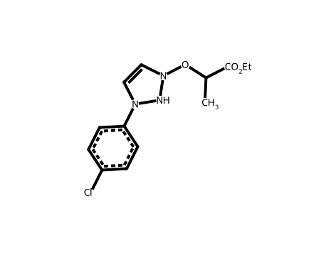 CCOC(=O)C(C)ON1C=CN(c2ccc(Cl)cc2)N1